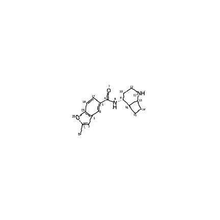 Cc1cc2cc(C(=O)N[C@@H]3CCNC4CCC43)ccc2o1